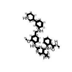 CNC(=O)c1ccccc1Nc1nc(Nc2ccc(CNc3cccc(C4CCCNC4)c3)cc2OC)ncc1C(F)(F)F